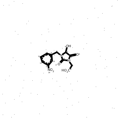 O=C(O)CN1C(=O)C(O)N(Cc2cccc([N+](=O)[O-])c2)C1=O